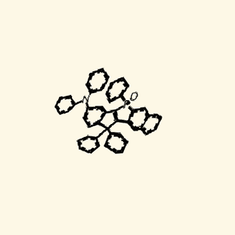 O=P1(c2ccccc2)C2=C(c3cc4ccccc4cc31)C(c1ccccc1)(c1ccccc1)c1ccc(N(c3ccccc3)c3ccccc3)cc12